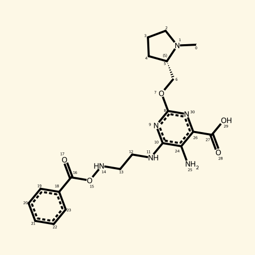 CN1CCC[C@H]1COc1nc(NCCNOC(=O)c2ccccc2)c(N)c(C(=O)O)n1